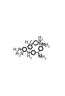 CC1(c2ccccc2)C=CC(N)(N)C=C1.CCC(c1ccc(N)cc1)c1ccc(N)cc1.N.Nc1ccccc1N